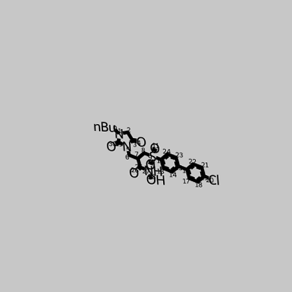 CCCCN1CC(=O)N(CC(CS(=O)(=O)c2ccc(-c3ccc(Cl)cc3)cc2)C(=O)NO)C1=O